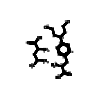 CC(C)CC(N)C(=O)O.N[C@@H](Cc1ccc(N(CCCl)CCCl)cc1)C(=O)O